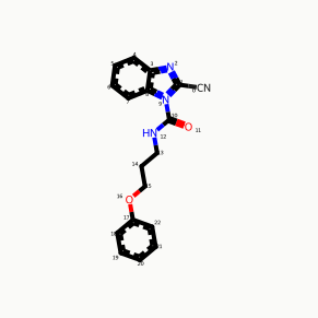 N#Cc1nc2ccccc2n1C(=O)NCCCOc1ccccc1